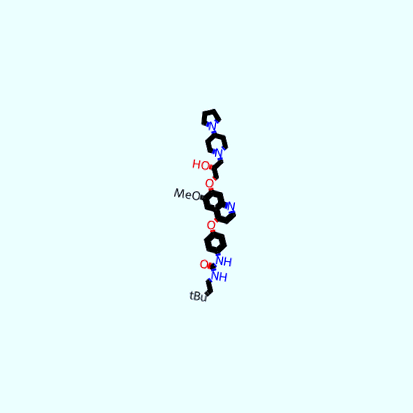 COc1cc2c(Oc3ccc(NC(=O)NCCC(C)(C)C)cc3)ccnc2cc1OCC(O)CN1CCC(N2CCCC2)CC1